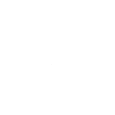 Cl.O=C(O)CC(Cc1nc2cc(Cl)cc(Cl)c2[nH]1)c1ccc(Cl)cc1